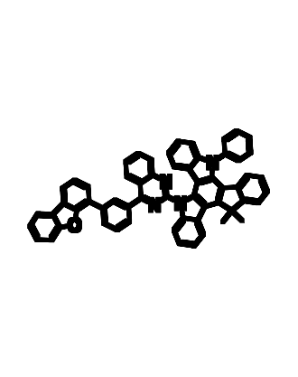 CC1(C)c2ccccc2-c2c1c1c3ccccc3n(-c3nc(-c4cccc(-c5cccc6c5oc5ccccc56)c4)c4ccccc4n3)c1c1c3ccccc3n(-c3ccccc3)c21